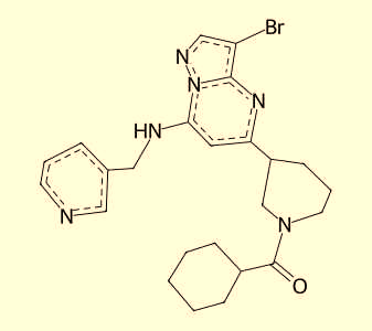 O=C(C1CCCCC1)N1CCCC(c2cc(NCc3cccnc3)n3ncc(Br)c3n2)C1